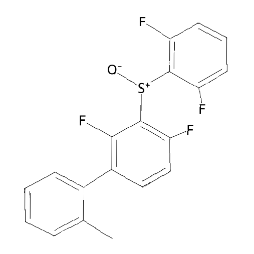 Cc1ccccc1-c1ccc(F)c([S+]([O-])c2c(F)cccc2F)c1F